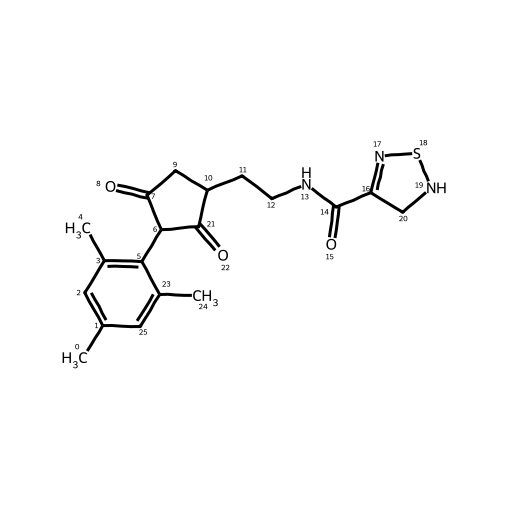 Cc1cc(C)c(C2C(=O)CC(CCNC(=O)C3=NSNC3)C2=O)c(C)c1